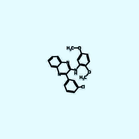 COc1ccc(OC)c(Nc2nc3ccccc3nc2-c2cccc(Cl)c2)c1